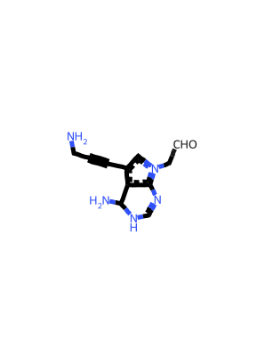 NCC#Cc1cn(CC=O)c2c1C(N)NC=N2